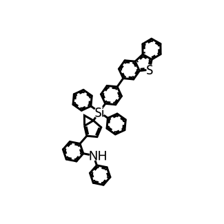 C1=CC2([Si](c3ccccc3)(c3ccccc3)c3ccc(-c4ccc5c(c4)sc4ccccc45)cc3)CC2=C1c1ccccc1Nc1ccccc1